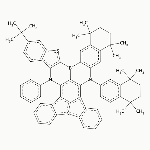 CC(C)(C)c1ccc2c3c(sc2c1)B1c2cc4c(cc2N(c2ccc5c(c2)C(C)(C)CCC5(C)C)c2c1c(c1c5ccccc5n5c6ccccc6c2c15)N3c1ccccc1)C(C)(C)CCC4(C)C